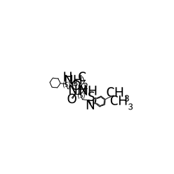 CCC(=O)N[C@@H](Cc1nc2ccc(C(C)C)cc2s1)C(=O)NC[C@@H](N)C1CCCCC1